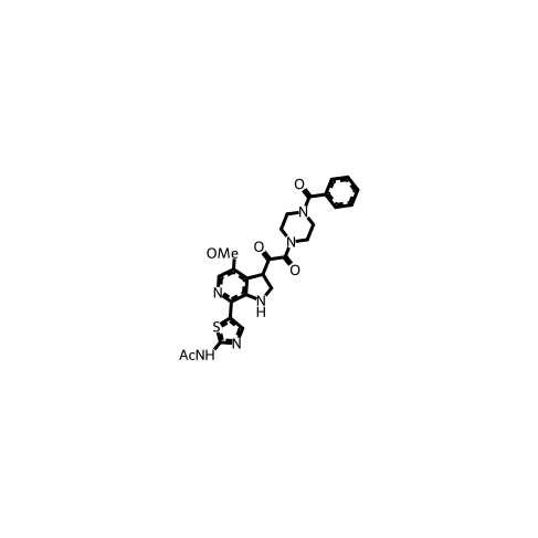 COc1cnc(-c2cnc(NC(C)=O)s2)c2c1C(C(=O)C(=O)N1CCN(C(=O)c3ccccc3)CC1)CN2